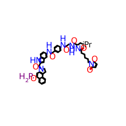 CC(C)CC(NC(=O)CCCCCN1C(=O)C=CC1=O)C(=O)NCC(=O)Nc1ccc(C(=O)Nc2ccc3[nH]c(C(=O)N4CCc5c4cc(OP)c4ccccc54)cc3c2)cc1